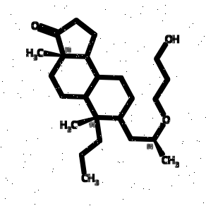 CCC[C@@]1(C)C(C[C@H](C)OCCCO)CCC2C1CC[C@]1(C)C(=O)CCC21